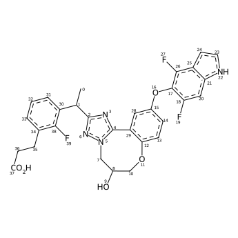 CC(c1nc2n(n1)CC(O)COc1ccc(Oc3c(F)cc4[nH]ccc4c3F)cc1-2)c1cccc(CCC(=O)O)c1F